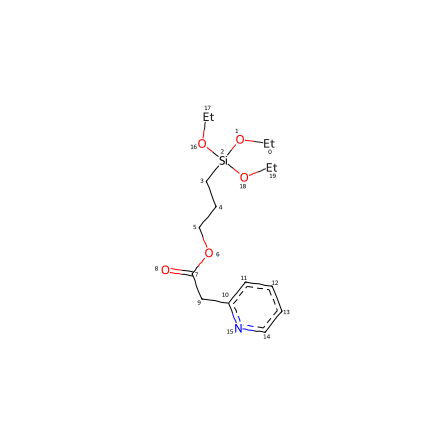 CCO[Si](CCCOC(=O)Cc1ccccn1)(OCC)OCC